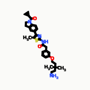 Cc1sc(NC(=O)Cc2cccc(OCCC(C)(C)CCN)c2)nc1-c1ccc2c(c1)CCN2C(=O)C1CC1